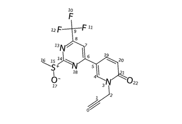 C#CCn1cc(-c2cc(C(F)(F)F)nc([S+](C)[O-])n2)ccc1=O